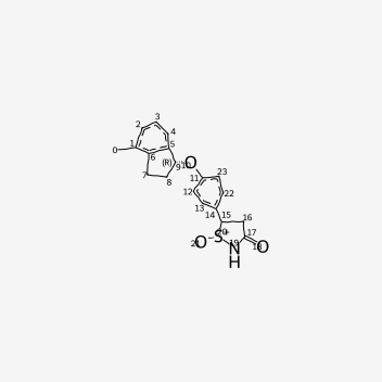 Cc1cccc2c1CC[C@H]2Oc1ccc(C2CC(=O)N[S+]2[O-])cc1